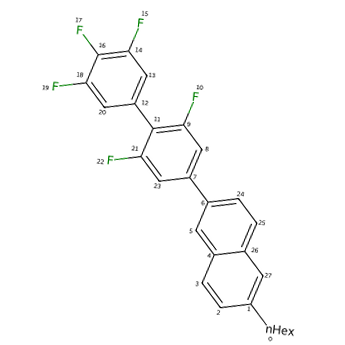 CCCCCCc1ccc2cc(-c3cc(F)c(-c4cc(F)c(F)c(F)c4)c(F)c3)ccc2c1